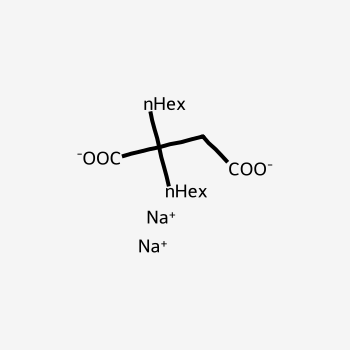 CCCCCCC(CCCCCC)(CC(=O)[O-])C(=O)[O-].[Na+].[Na+]